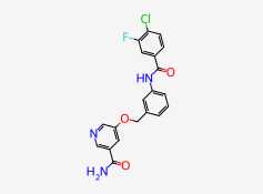 NC(=O)c1cncc(OCc2cccc(NC(=O)c3ccc(Cl)c(F)c3)c2)c1